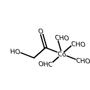 O=[CH][Co]([CH]=O)([CH]=O)([CH]=O)[C](=O)CO